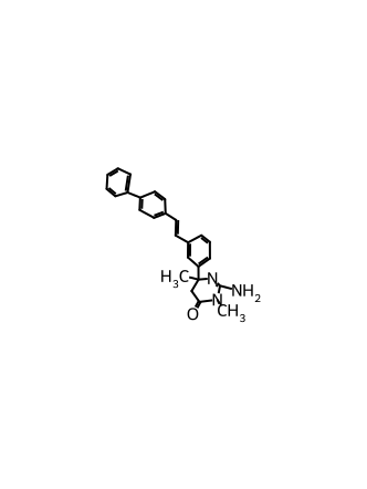 CN1C(=O)CC(C)(c2cccc(C=Cc3ccc(-c4ccccc4)cc3)c2)N=C1N